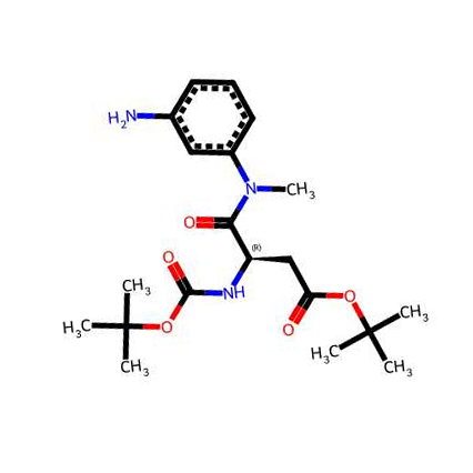 CN(C(=O)[C@@H](CC(=O)OC(C)(C)C)NC(=O)OC(C)(C)C)c1cccc(N)c1